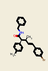 Cc1ccc([C@@H](C(=O)NCc2ccccc2)[C@@H](C)/C=C/c2ccc(Br)cc2)cc1